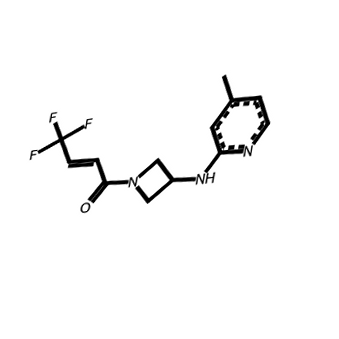 Cc1ccnc(NC2CN(C(=O)C=CC(F)(F)F)C2)c1